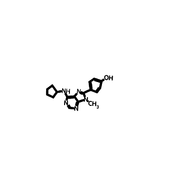 Cn1c(-c2ccc(O)cc2)nc2c(NC3CCCC3)ncnc21